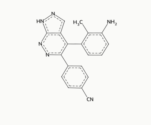 Cc1c(N)cccc1-c1c(-c2ccc(C#N)cc2)nnc2[nH]ncc12